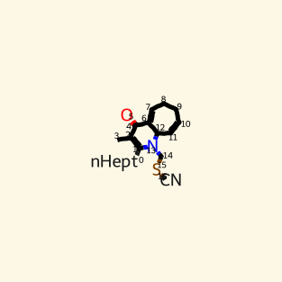 CCCCCCCC1=C(C)C(=O)C2=CCCC=CC2N1CSC#N